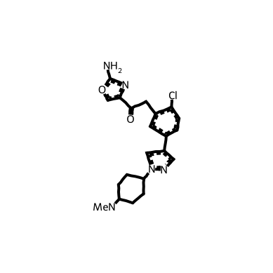 CNC1CCC(n2cc(-c3ccc(Cl)c(CC(=O)c4coc(N)n4)c3)cn2)CC1